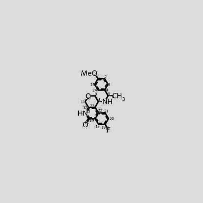 COc1ccc([C@@H](C)N[C@H]2COCc3[nH]c(=O)c4cc(F)ccc4c32)cc1